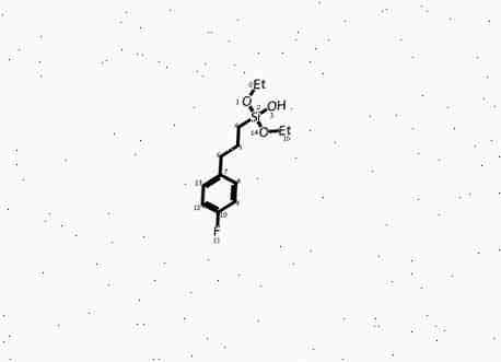 CCO[Si](O)(CCCc1ccc(F)cc1)OCC